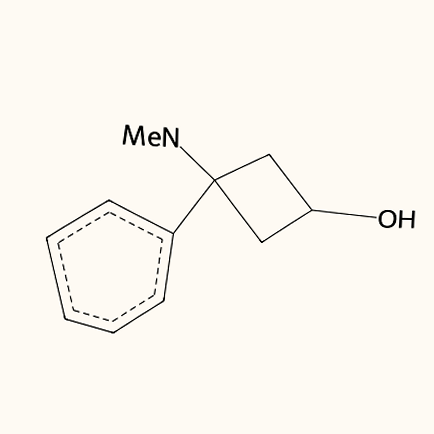 CNC1(c2ccccc2)CC(O)C1